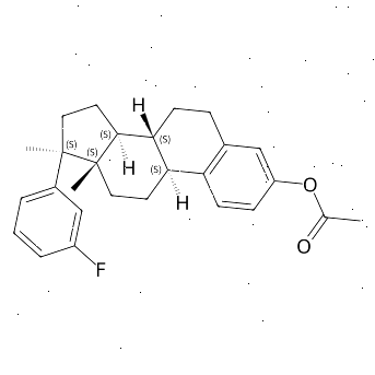 CC(=O)Oc1ccc2c(c1)CC[C@@H]1[C@@H]2CC[C@@]2(C)[C@H]1CC[C@]2(C)c1cccc(F)c1